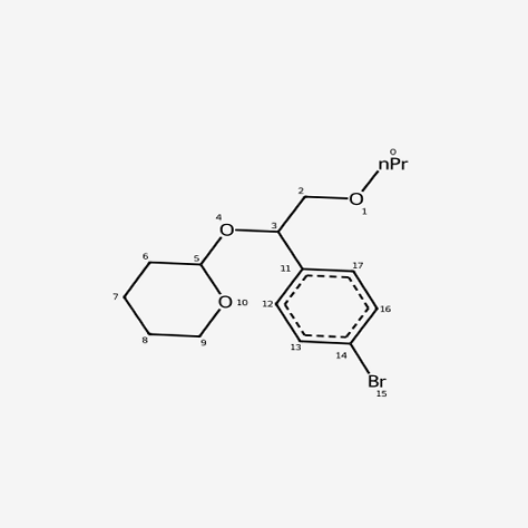 CCCOCC(OC1CCCCO1)c1ccc(Br)cc1